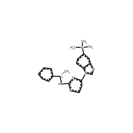 C[C@H](Nc1nccc(-n2cnc3c[c]([Sn]([CH3])([CH3])[CH3])ccc32)n1)c1ccccc1